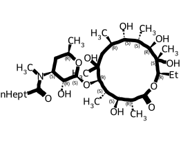 CCCCCCCC(=O)N(C)[C@H]1C[C@@H](C)O[C@@H](O[C@@H]2[C@@H](C)[C@H](O)[C@@H](C)C(=O)O[C@H](CC)[C@@](C)(O)[C@H](O)[C@@H](C)[C@@H](O)[C@H](C)CC2(C)O)[C@@H]1O